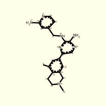 Cc1cc(-c2cnc(N)c(NCc3ccnc(N)c3)n2)cc2c1CCN(C)C2